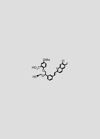 C#CCOC(COc1ccc(OC)cc1C(=O)O)c1cccc(/C=C/c2ccc3cc(F)c(Cl)cc3n2)c1